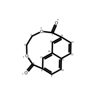 O=C1OCCOC(=O)c2ccc3ccc1cc3c2